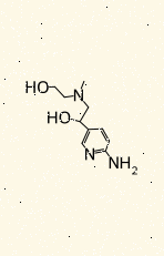 CN(CCO)CC(O)c1ccc(N)nc1